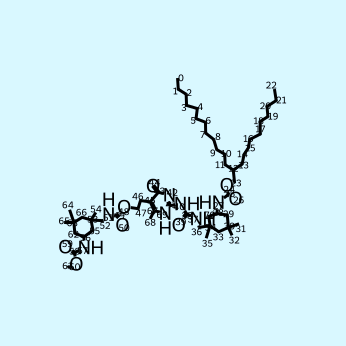 CCCCCCCCCCCCC(CCCCCCCCCC)COC(=O)NC1CC(C)(C)CC(C)(CNC(=O)Nc2nc(=O)c(CCOC(=O)NCC3(C)CC(NC(=O)OC)CC(C)(C)C3)c(C)[nH]2)C1